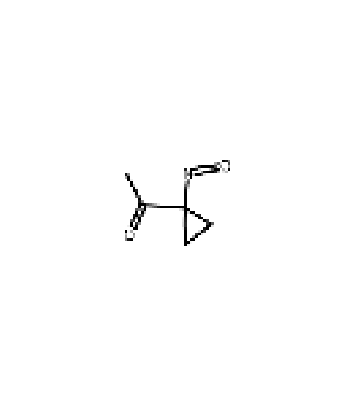 CC(=O)C1(N=O)CC1